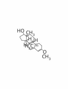 COC1=CC2=CC[C@@H]3[C@H](CC[C@]4(C)C(O)CC[C@@H]34)[C@@]2(C)CC1